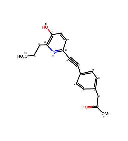 COC(=O)Cc1ccc(C#Cc2ccc(O)c(CCC(=O)O)n2)cc1